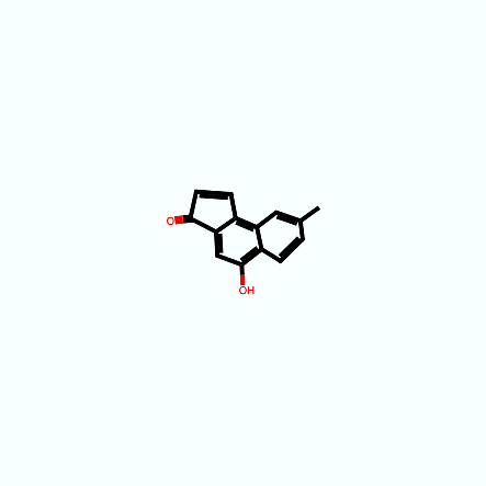 Cc1ccc2c(O)cc3c(c2c1)C=CC3=O